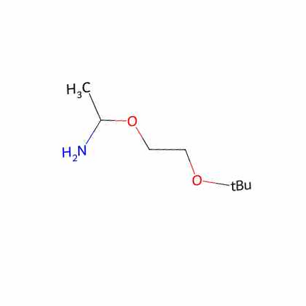 CC(N)OCCOC(C)(C)C